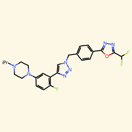 CC(C)N1CCN(c2ccc(F)c(-c3cn(Cc4ccc(-c5nnc(C(F)F)o5)cc4)nn3)c2)CC1